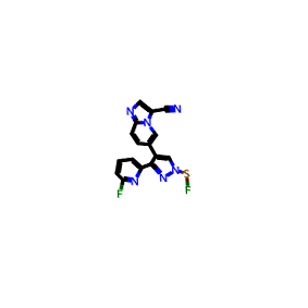 N#Cc1cnc2ccc(-c3cn(SF)nc3-c3cccc(F)n3)cn12